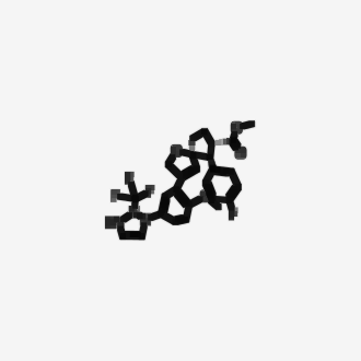 COC(=O)[C@H]1CC[C@@]2(C=C(c3cc(N4C=CNN4C(F)(F)F)ccc3OC)CO2)[C@@H]1c1ccc(F)cc1